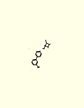 COC(=O)c1cccc(-c2ccc(OC(O)C3(O)C(O)C(O)C3CO)c(OC)c2)c1